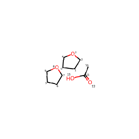 C1CCOC1.C1CCOC1.CC(=O)O